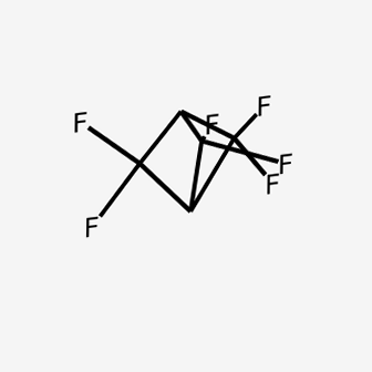 FC1(F)C2C(F)(F)C1C2(F)F